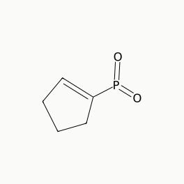 O=P(=O)C1=CCCC1